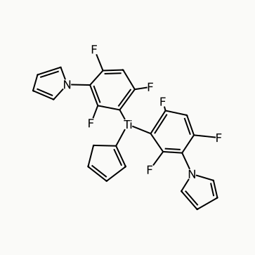 Fc1cc(F)[c]([Ti]([C]2=CC=CC2)[c]2c(F)cc(F)c(-n3cccc3)c2F)c(F)c1-n1cccc1